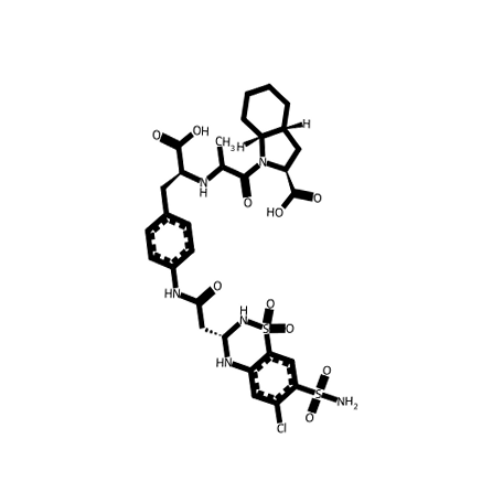 CC(N[C@@H](Cc1ccc(NC(=O)C[C@H]2Nc3cc(Cl)c(S(N)(=O)=O)cc3S(=O)(=O)N2)cc1)C(=O)O)C(=O)N1[C@@H]2CCCC[C@@H]2C[C@H]1C(=O)O